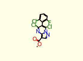 COC(=O)c1cnn2c(Cl)c(-c3c(F)cccc3Cl)c(Cl)nc12